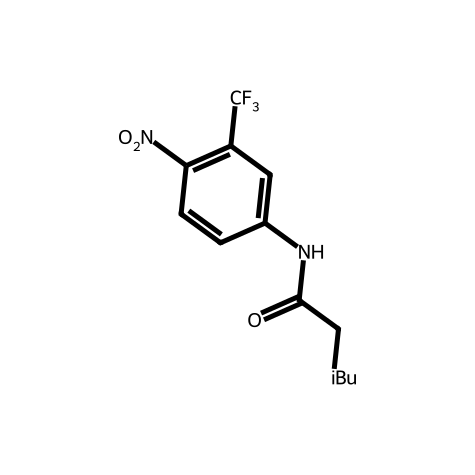 CCC(C)CC(=O)Nc1ccc([N+](=O)[O-])c(C(F)(F)F)c1